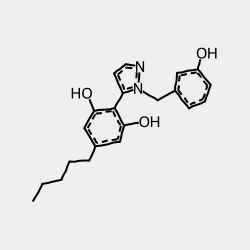 CCCCCc1cc(O)c(-c2ccnn2Cc2cccc(O)c2)c(O)c1